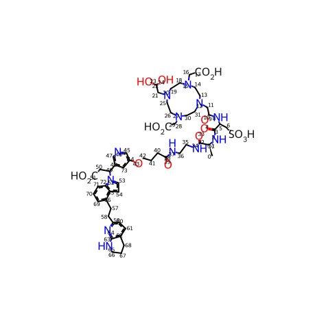 C[C@H](NC(=O)C(CS(=O)(=O)O)NC(=O)CN1CCN(CC(=O)O)CCN(CC(O)O)CCN(CC(=O)O)CC1)C(=O)NCCNC(=O)CCCOc1cncc(C(CC(=O)O)n2ccc3c(CCc4ccc5c(n4)NCCC5)cccc32)c1